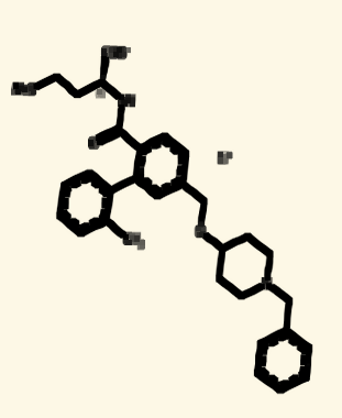 CSCC[C@H](NC(=O)c1ccc(COC2CCN(Cc3ccccc3)CC2)cc1-c1ccccc1C)C(=O)[O-].[Li+]